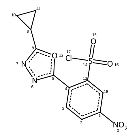 O=[N+]([O-])c1ccc(-c2nnc(C3CC3)o2)c(S(=O)(=O)Cl)c1